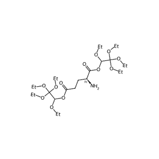 CCOC(OC(=O)CC[C@H](N)C(=O)OC(OCC)C(OCC)(OCC)OCC)C(OCC)(OCC)OCC